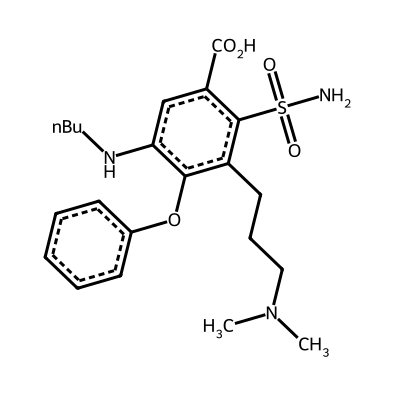 CCCCNc1cc(C(=O)O)c(S(N)(=O)=O)c(CCCN(C)C)c1Oc1ccccc1